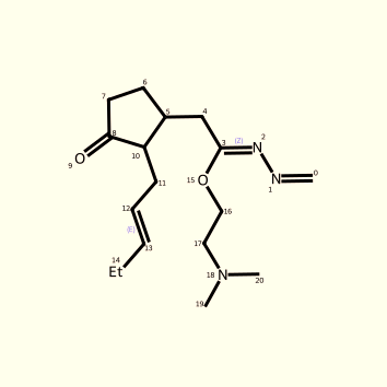 C=N/N=C(/CC1CCC(=O)C1C/C=C/CC)OCCN(C)C